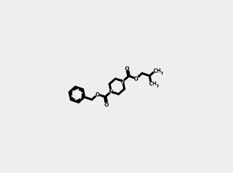 CC(C)COC(=O)N1CCN(C(=O)OCc2ccccc2)CC1